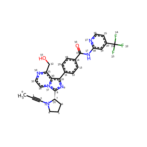 CC#CN1CCC[C@H]1c1nc(-c2ccc(C(=O)Nc3cc(C(F)(F)F)ccn3)cc2)c2c(CO)nccn12